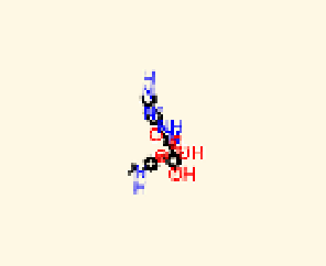 CC(C)Nc1ccc(Oc2cc(O)cc(O)c2-c2cc(C(=O)NC3CC[N+](C)(C4CCNCC4)CC3)no2)cc1